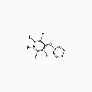 Fc1c(F)c(F)[n+](Oc2ccccc2)c(F)c1F